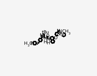 CC1CCCCN1c1nnc2ccc(O[C@@H]3CC[C@H](NC(=O)Nc4cc(C(C)(C)C)nn4-c4ccc(CN5CCN(C)CC5)cc4)c4ccccc43)cn12